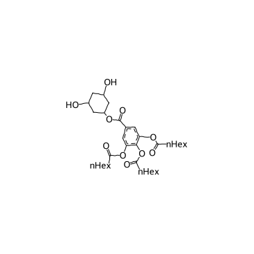 CCCCCCC(=O)Oc1cc(C(=O)OC2CC(O)CC(O)C2)cc(OC(=O)CCCCCC)c1OC(=O)CCCCCC